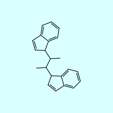 CC(C1C=Cc2ccccc21)C(C)C1C=Cc2ccccc21